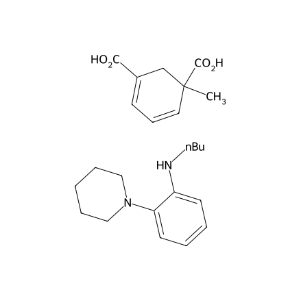 CC1(C(=O)O)C=CC=C(C(=O)O)C1.CCCCNc1ccccc1N1CCCCC1